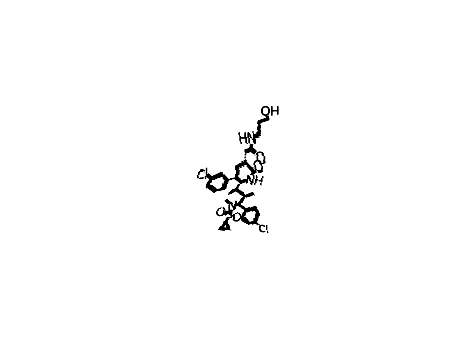 CC(C(C)[C@@H]1NC(=O)[C@@H](CC(=O)NCCCO)C[C@@H]1c1cccc(Cl)c1)C(c1ccc(Cl)cc1)N(C)S(=O)(=O)C1CC1